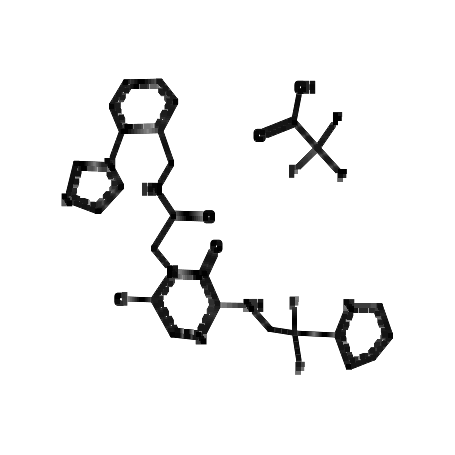 O=C(Cn1c(Cl)cnc(NCC(F)(F)c2ccccn2)c1=O)NCc1ccccc1-n1ccnc1.O=C(O)C(F)(F)F